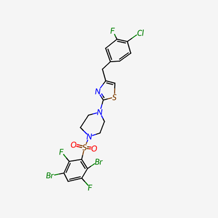 O=S(=O)(c1c(F)c(Br)cc(F)c1Br)N1CCN(c2nc(Cc3ccc(Cl)c(F)c3)cs2)CC1